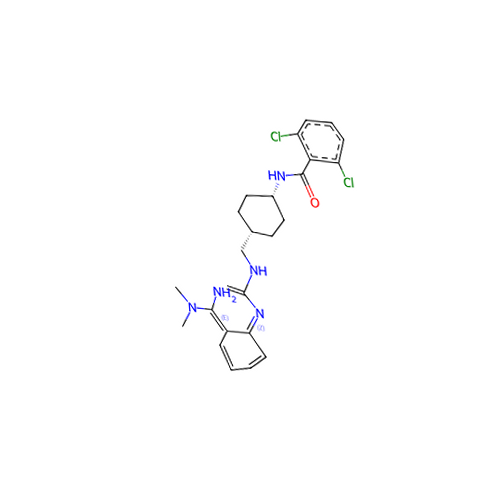 C=C(/N=C1/C=CC=C/C1=C(/N)N(C)C)NC[C@H]1CC[C@@H](NC(=O)c2c(Cl)cccc2Cl)CC1